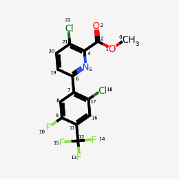 COC(=O)c1nc(-c2cc(F)c(C(F)(F)F)cc2Cl)ccc1Cl